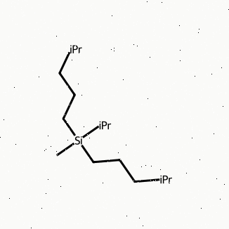 CC(C)CCC[Si](C)(CCCC(C)C)C(C)C